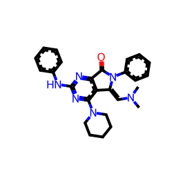 CN(C)/C=C1/c2c(nc(Nc3ccccc3)nc2N2CCCCC2)C(=O)N1c1ccccc1